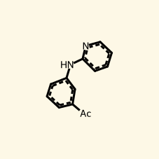 CC(=O)c1cccc(Nc2ccccn2)c1